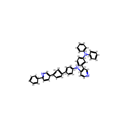 c1ccc(-c2ccc(-c3ccc(-c4ccc(-n5c6ccncc6c6cc(N(c7ccccc7)c7ccccc7)ccc65)cc4)cc3)cn2)cc1